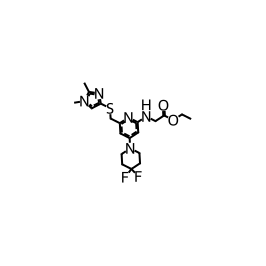 CCOC(=O)CNc1cc(N2CCC(F)(F)CC2)cc(CSc2cn(C)c(C)n2)n1